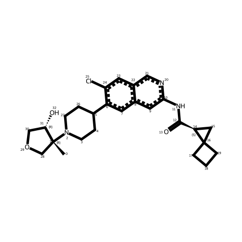 C[C@@]1(N2CCC(c3cc4cc(NC(=O)[C@H]5CC56CCC6)ncc4cc3Cl)CC2)COC[C@@H]1O